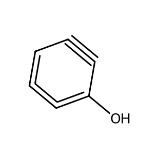 OC1=C=C=CC#C1